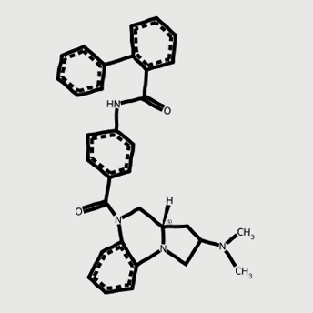 CN(C)C1C[C@H]2CN(C(=O)c3ccc(NC(=O)c4ccccc4-c4ccccc4)cc3)c3ccccc3N2C1